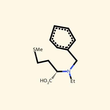 CCN(Cc1ccccc1)[C@@H](CCSC)C(=O)O